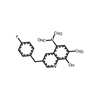 O=Cc1cc(N(C=O)C=O)c2cc(Cc3ccc(F)cc3)cnc2c1O